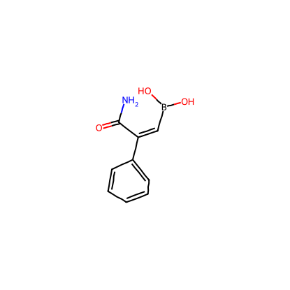 NC(=O)C(=CB(O)O)c1ccccc1